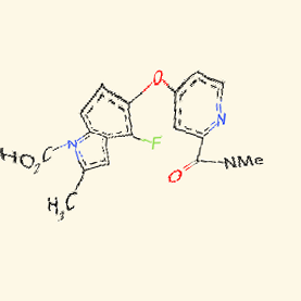 CNC(=O)c1cc(Oc2ccc3c(cc(C)n3C(=O)O)c2F)ccn1